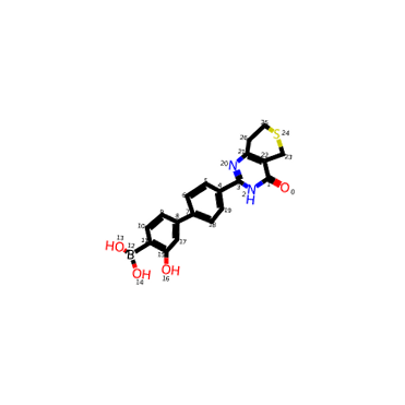 O=c1[nH]c(-c2ccc(-c3ccc(B(O)O)c(O)c3)cc2)nc2c1CSCC2